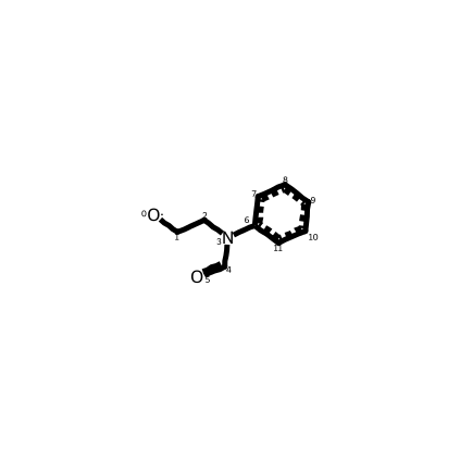 [O]CCN(C=O)c1ccccc1